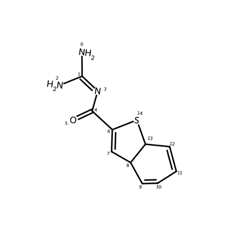 NC(N)=NC(=O)C1=CC2C=CC=CC2S1